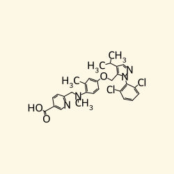 Cc1cc(OCc2c(C(C)C)cnn2-c2c(Cl)cccc2Cl)ccc1N(C)Cc1ccc(C(=O)O)cn1